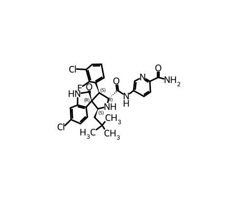 CC(C)(C)C[C@@H]1N[C@@H](C(=O)Nc2ccc(C(N)=O)nc2)[C@H](c2cccc(Cl)c2F)[C@]12C(=O)Nc1cc(Cl)ccc12